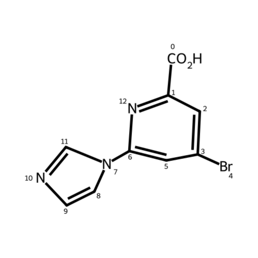 O=C(O)c1cc(Br)cc(-n2ccnc2)n1